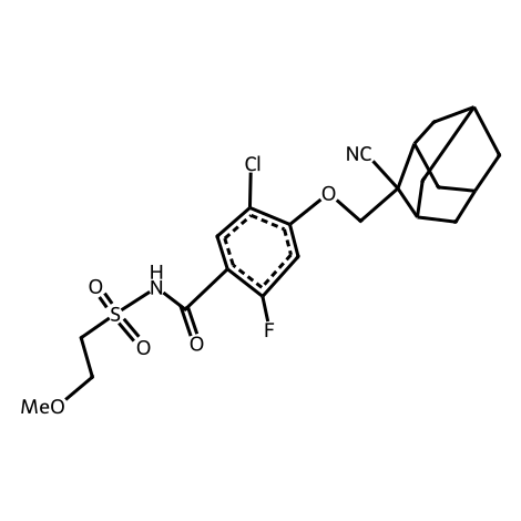 COCCS(=O)(=O)NC(=O)c1cc(Cl)c(OCC2(C#N)C3CC4CC(C3)CC2C4)cc1F